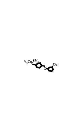 CN(C)Cc1ccc(COc2cccc(S)c2)cc1